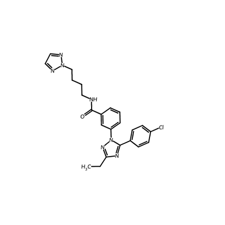 CCc1nc(-c2ccc(Cl)cc2)n(-c2cccc(C(=O)NCCCCn3nccn3)c2)n1